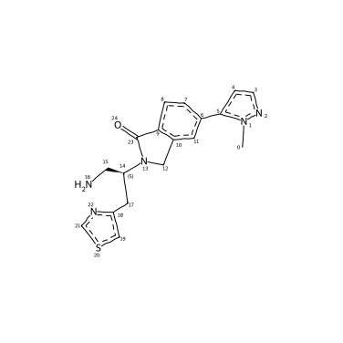 Cn1nccc1-c1ccc2c(c1)CN([C@H](CN)Cc1cscn1)C2=O